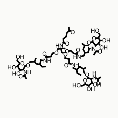 CCC(CNC(=O)CCOCC(COCCC(=O)NCC(CC)CC(C)COC1OC(CO)C(O)C(O)C1NC(C)=O)(COCCC(=O)NCC(CC)CC(C)COC1OC(CO)C(O)C(O)C1NC(C)=O)NC(=O)CCCC(C)=O)CC(C)COC1OC(CO)C(O)C(O)C1NC(C)=O